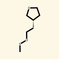 CSOCC[C@H]1CCOC1